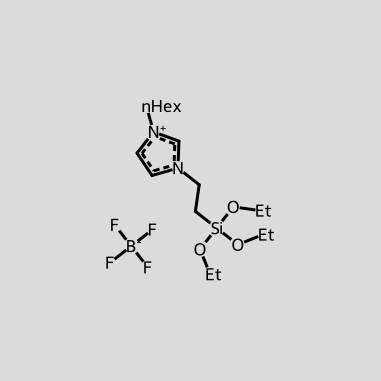 CCCCCC[n+]1ccn(CC[Si](OCC)(OCC)OCC)c1.F[B-](F)(F)F